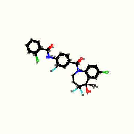 C[C@@]1(O)c2cc(Cl)ccc2N(C(=O)c2ccc(NC(=O)c3ccccc3Cl)c(F)c2)CCC1(F)F